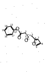 O=C(C[S+]([O-])Cc1ccco1)Oc1ccccc1